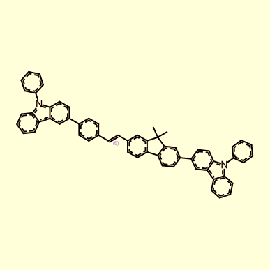 CC1(C)c2cc(/C=C/c3ccc(-c4ccc5c(c4)c4ccccc4n5-c4ccccc4)cc3)ccc2-c2ccc(-c3ccc4c(c3)c3ccccc3n4-c3ccccc3)cc21